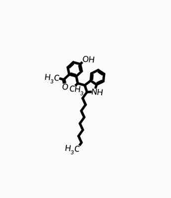 CCCCCCCCCC1Nc2ccccc2C1C(C)c1cc(O)ccc1C(C)=O